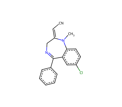 CN1C(=CC#N)CN=C(c2ccccc2)c2cc(Cl)ccc21